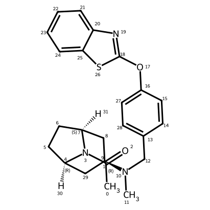 CC(=O)N1[C@@H]2CC[C@H]1C[C@@H](N(C)Cc1ccc(Oc3nc4ccccc4s3)cc1)C2